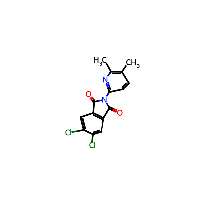 Cc1ccc(N2C(=O)c3cc(Cl)c(Cl)cc3C2=O)nc1C